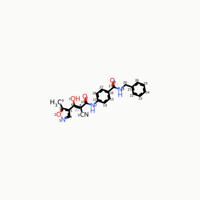 Cc1oncc1/C(O)=C(\C#N)C(=O)Nc1ccc(C(=O)NCc2ccccc2)cc1